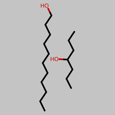 CCCC(O)CCC.CCCCCCCCCCCO